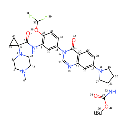 CN1CCN(C2(C(=O)Nc3cc(-n4cnc5cc(N6CC[C@H](NC(=O)OC(C)(C)C)C6)ccc5c4=O)ccc3OC(F)F)CC2)CC1